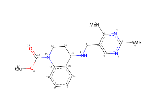 CNc1nc(SC)ncc1CNC1CCN(C(=O)OC(C)(C)C)c2ccccc21